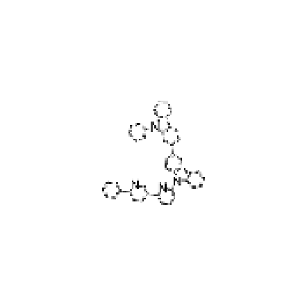 c1ccc(-c2ccc(-c3cccc(-n4c5ccccc5c5cc(-c6ccc7c8ccccc8n(-c8ccccc8)c7c6)ccc54)n3)cn2)cc1